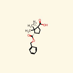 CC1(C)[C@@H](C(=O)OCc2ccccc2)CC[C@]1(C)C(=O)O